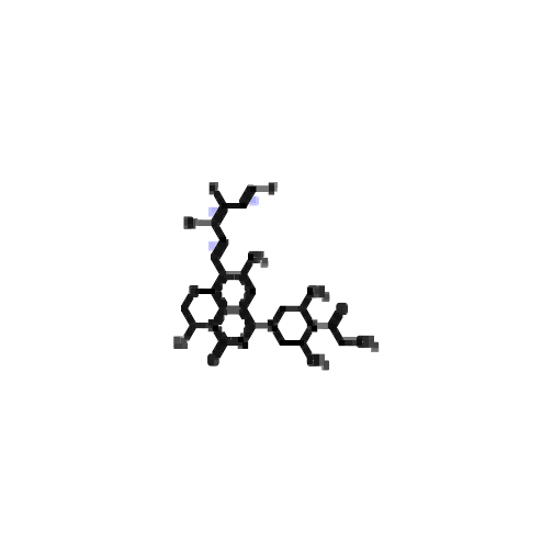 C=CC(=O)N1C(C)CN(c2nc(=O)n3c4c(c(/C=C/C(Br)=C(F)\C=C\F)c(C(F)(F)F)cc24)SCC3CC)CC1C